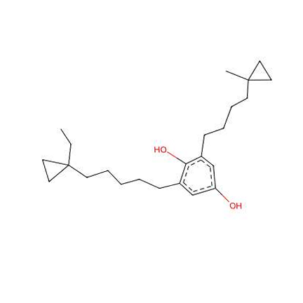 CCC1(CCCCCc2cc(O)cc(CCCCC3(C)CC3)c2O)CC1